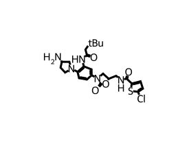 CC(C)(C)CC(=O)Nc1cc(N2CC(CNC(=O)c3ccc(Cl)s3)OC2=O)ccc1N1CCC(N)C1